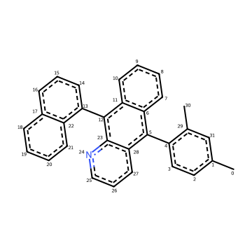 Cc1ccc(-c2c3ccccc3c(-c3cccc4ccccc34)c3ncccc23)c(C)c1